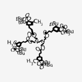 Cc1cc(CCC(=O)OCCN(CCOC(=O)CCc2cc(C)c(OC(=O)OC(C)(C)C)c(C(C)(C)C)c2)CCN(CCOC(=O)CCc2cc(C)c(OC(=O)OC(C)(C)C)c(C(C)(C)C)c2)CCOC(=O)CCc2cc(C)c(OC(=O)OC(C)(C)C)c(C(C)(C)C)c2)cc(C(C)(C)C)c1OC(=O)OC(C)(C)C